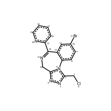 ClCc1nnc2n1-c1ccc(Br)cc1C(c1ccccn1)=NC2